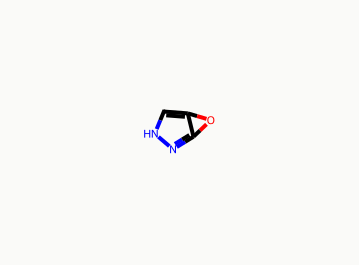 c1[nH]nc2c1O2